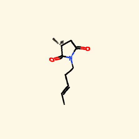 CC=CCCN1C(=O)C[C@@H](C)C1=O